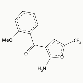 COc1ccccc1C(=O)c1cc(C(F)(F)F)oc1N